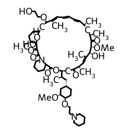 CO[C@@H]1C[C@H](C[C@@H](C)[C@@H]2CC(=O)[C@H](C)/C=C(\C)[C@@H](O)[C@@H](OC)C(=O)[C@H](C)C[C@H](C)/C=C/C=C/C=C(\C)C(OCCO)C[C@@H]3CC[C@@H](C)[C@@](O)(O3)C(=O)C(=O)N3CCCCC3C(=O)O2)CC[C@H]1OCCN1CCCCC1